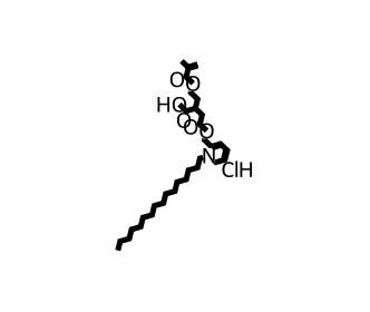 C=C(C)C(=O)OCCC(CC(=O)OCC1=CC=CCN1CCCCCCCCCCCCCCCC)C(=O)O.Cl